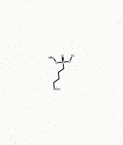 CCCCCCCCCCCCP(=O)(OCC)OCCCC